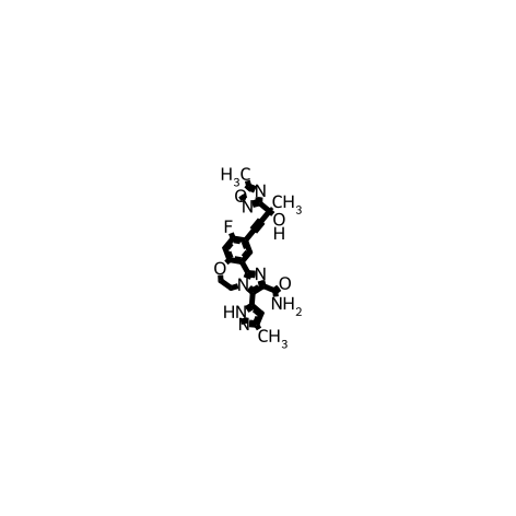 Cc1cc(-c2c(C(N)=O)nc3n2CCOc2cc(F)c(C#C[C@@](C)(O)c4noc(C)n4)cc2-3)[nH]n1